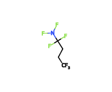 FN(F)C(F)(F)CCC(F)(F)F